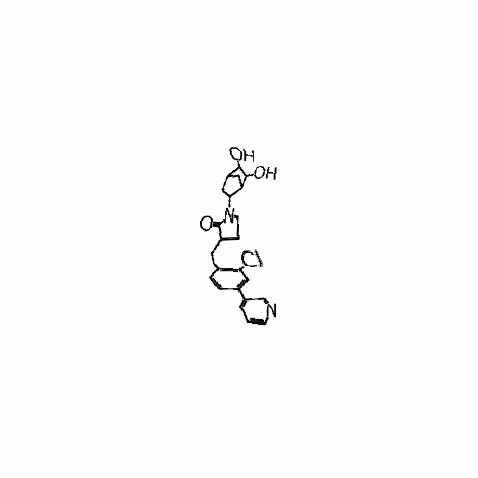 O=C1C(Cc2ccc(-c3cccnc3)cc2Cl)CCN1C1CC2CC1C(O)C2O